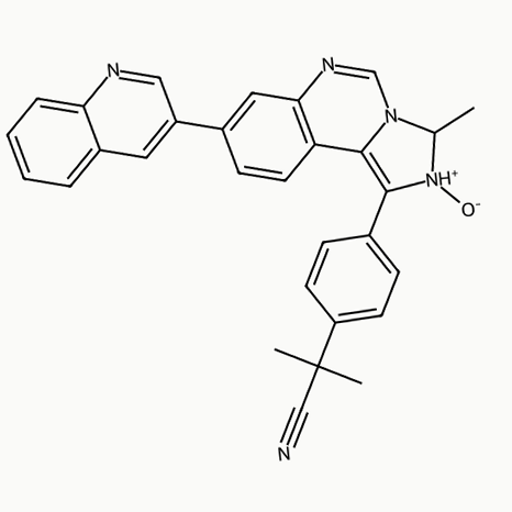 CC1N2C=Nc3cc(-c4cnc5ccccc5c4)ccc3C2=C(c2ccc(C(C)(C)C#N)cc2)[NH+]1[O-]